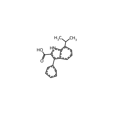 CC(C)c1cccc2c(-c3ccccc3)c(C(=O)O)[nH]c12